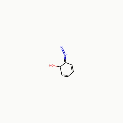 [N-]=[N+]=C1C=CC=CC1O